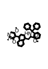 COC(=O)C(Cc1ccc(-c2c(OC)cnn(C)c2=O)c2ccccc12)NC(c1ccccc1)(c1ccccc1)c1ccccc1